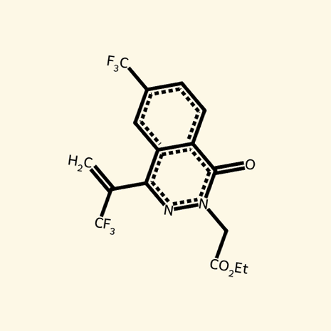 C=C(c1nn(CC(=O)OCC)c(=O)c2ccc(C(F)(F)F)cc12)C(F)(F)F